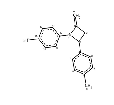 C=C1CC(c2ccc(C)cc2)N1c1ccc(F)cc1